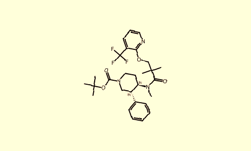 CN(C(=O)C(C)(C)COc1ncccc1C(F)(F)F)[C@@H]1CCN(C(=O)OC(C)(C)C)C[C@H]1c1ccccc1